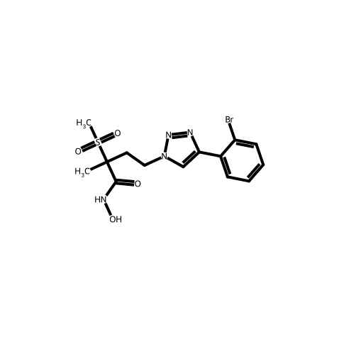 CC(CCn1cc(-c2ccccc2Br)nn1)(C(=O)NO)S(C)(=O)=O